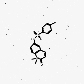 Cc1ccc(S(=O)(=O)Nc2ccc3c(c2)C=CC(=O)[N+]3(C)C)cc1